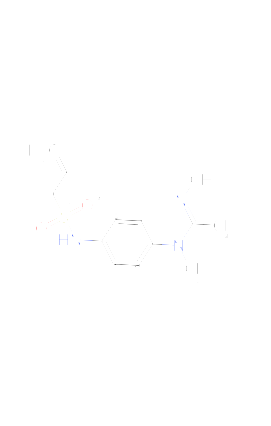 C=CCS(=O)(=O)Nc1ccc(N(C)C(C)=NC)cc1